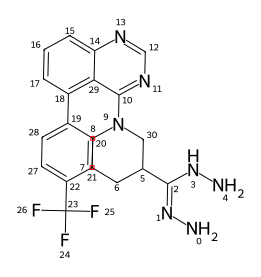 N/N=C(\NN)C1CCCN(c2ncnc3cccc(-c4ccc(C(F)(F)F)cc4)c23)C1